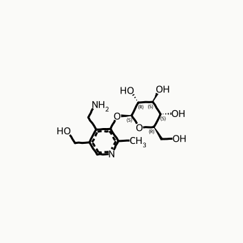 Cc1ncc(CO)c(CN)c1O[C@@H]1O[C@H](CO)[C@@H](O)[C@H](O)[C@H]1O